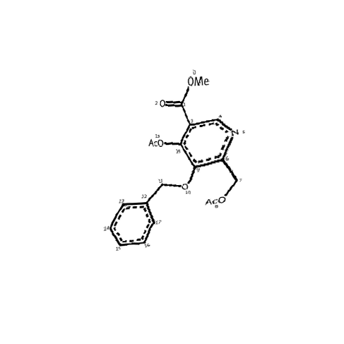 COC(=O)c1cnc(COC(C)=O)c(OCc2ccccc2)c1OC(C)=O